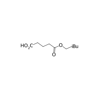 CCC(C)COC(=O)CCCC(=O)O